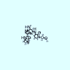 CNc1cc(Nc2cccn([C@H]3C[C@@H](OC)C3)c2=O)nc2c(C(=O)N[C@H]3CCC3(F)F)cnn12